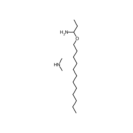 CCCCCCCCCCCCOC(N)CC.CNC